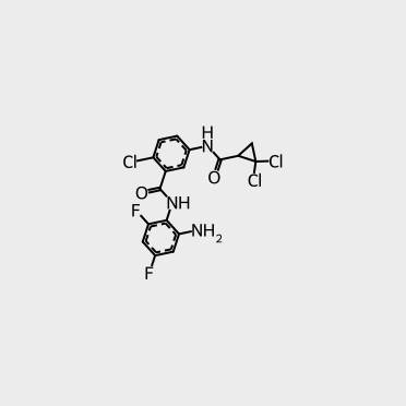 Nc1cc(F)cc(F)c1NC(=O)c1cc(NC(=O)C2CC2(Cl)Cl)ccc1Cl